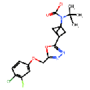 CC(C)(C)N(C(=O)O)C12CC(c3nnc(COc4ccc(Cl)c(F)c4)o3)(C1)C2